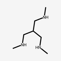 CNCC(CNC)CNC